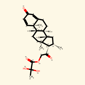 C[C@H]1C[C@H]2[C@@H]3CCC4=CC(=O)C=C[C@]4(C)[C@H]3CC[C@]2(C)[C@H]1C(=O)COC(=O)C(C)(O)O